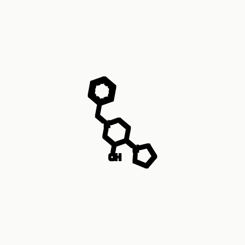 OC1CN(Cc2ccccc2)CCC1N1CCCC1